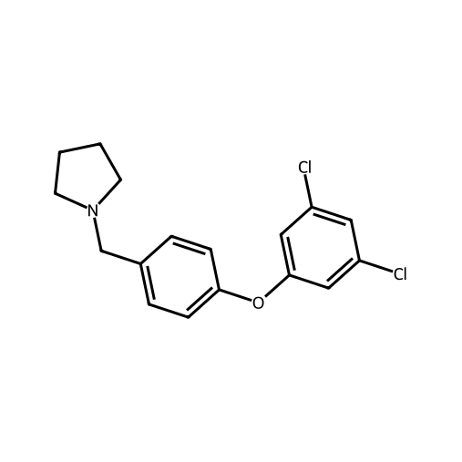 Clc1cc(Cl)cc(Oc2ccc(CN3CCCC3)cc2)c1